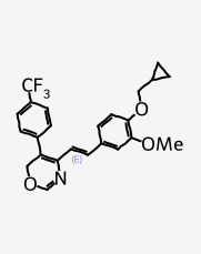 COc1cc(/C=C/C2=C(c3ccc(C(F)(F)F)cc3)COC=N2)ccc1OCC1CC1